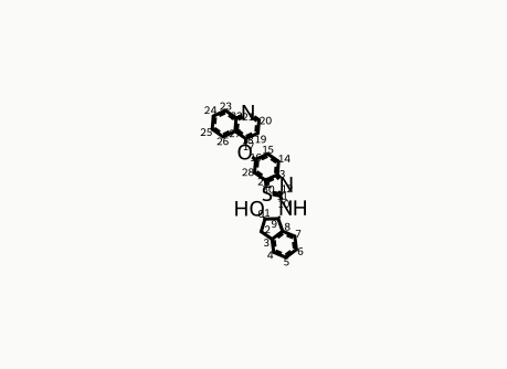 O[C@H]1Cc2ccccc2[C@H]1Nc1nc2ccc(Oc3ccnc4ccccc34)cc2s1